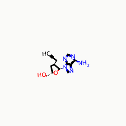 C#CC[C@@H]1C[C@@H](CO)O[C@H]1n1cnc2c(N)ncnc21